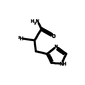 [2H]C(Cc1c[nH]cn1)C(N)=O